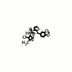 Cc1noc(NS(=O)(=O)c2ccsc2Cc2ccc3c(c2)OCO3)c1Cl